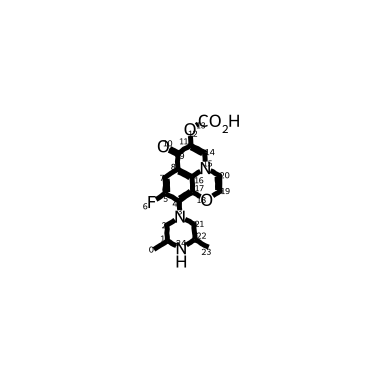 CC1CN(c2c(F)cc3c(=O)c(OC(=O)O)cn4c3c2OC=C4)CC(C)N1